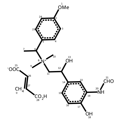 C.COc1ccc(C(C)[N+](C)(C)CC(O)c2ccc(O)c(NC=O)c2)cc1.O=C([O-])C=CC(=O)O